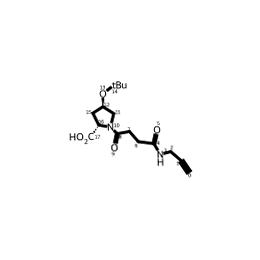 C#CCNC(=O)CCC(=O)N1C[C@H](OC(C)(C)C)C[C@H]1C(=O)O